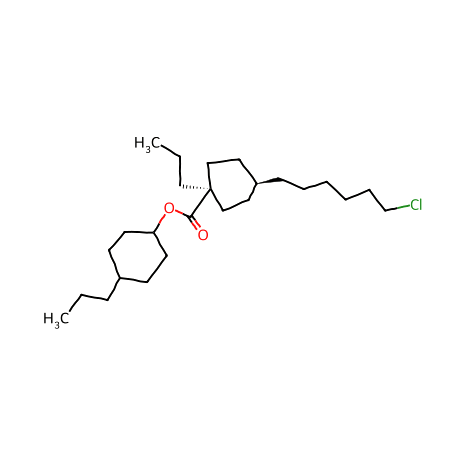 CCCC1CCC(OC(=O)[C@]2(CCC)CC[C@H](CCCCCCCl)CC2)CC1